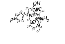 CCN1CCC(CN2C(c3ccc(F)cc3)=CC(O)n3ncc(C(N)=O)c32)CC1